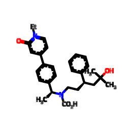 CCn1ccc(-c2ccc([C@H](C)N(CC[C@H](CC(C)(C)O)c3ccccc3)C(=O)O)cc2)cc1=O